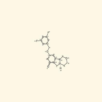 O=c1nc(OCc2cc(F)cc(F)c2)cc2n1C[C@@H]1CCOCN21